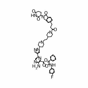 Nc1ncc(-c2cnn(C3CCN(CCC4CCN(C(=O)CCc5ccc6c(c5)CN(C5CCC(=O)NC5=O)C6=O)CC4)CC3)c2)nc1C(=O)O[C@@H](C(=O)Nc1ccc(F)cc1)c1ccccc1